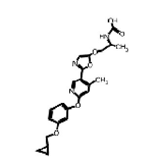 Cc1cc(Oc2cccc(OCC3CC3)c2)ncc1-c1ncc(OCC(C)NC(=O)O)o1